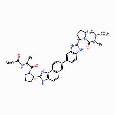 COC(=O)N[C@H](C(=O)N1CCC[C@H]1c1nc2c(ccc3cc(-c4ccc5[nH]c([C@@H]6CCCN6C(=O)[C@H](C(C)C)N(C)C(=O)O)nc5c4)ccc32)[nH]1)C(C)C